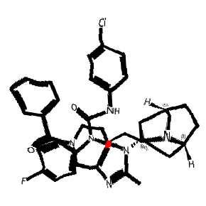 Cc1nc2c(n1[C@H]1C[C@H]3CC[C@@H](C1)N3CCCN(C(=O)Nc1ccc(Cl)cc1)c1ccc(F)cc1)CCN(C(=O)c1ccccc1)C2